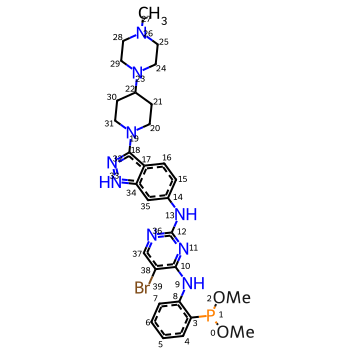 COP(OC)c1ccccc1Nc1nc(Nc2ccc3c(N4CCC(N5CCN(C)CC5)CC4)n[nH]c3c2)ncc1Br